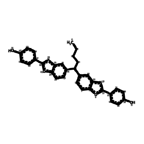 CCCCC(c1ccc2oc(-c3ccc(O)cc3)nc2c1)c1ccc2oc(-c3ccc(O)cc3)nc2c1